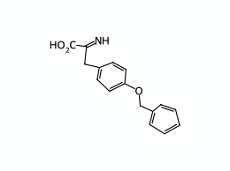 N=C(Cc1ccc(OCc2ccccc2)cc1)C(=O)O